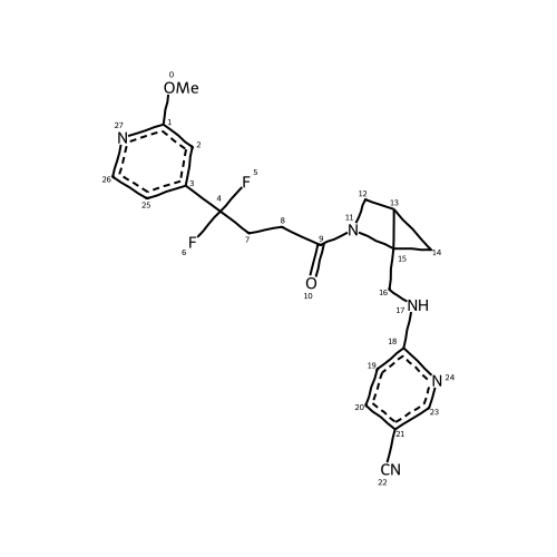 COc1cc(C(F)(F)CCC(=O)N2CC3CC32CNc2ccc(C#N)cn2)ccn1